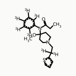 [2H]c1c([2H])c([2H])c(N(C(=O)CC)C2(OC)CCN(CC([2H])([2H])c3cccs3)CC2)c([2H])c1[2H]